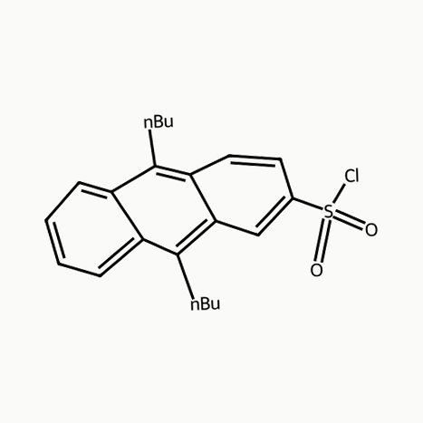 CCCCc1c2ccccc2c(CCCC)c2cc(S(=O)(=O)Cl)ccc12